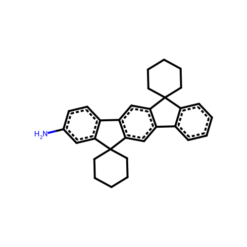 Nc1ccc2c(c1)C1(CCCCC1)c1cc3c(cc1-2)C1(CCCCC1)c1ccccc1-3